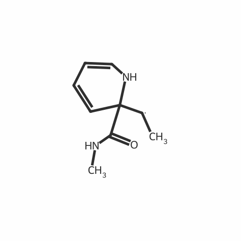 C[CH]C1(C(=O)NC)C=CC=CN1